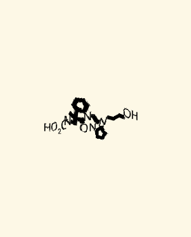 O=C(O)N1CC2(C1)C(=O)N(Cc1nc3c(n1CCCCO)CCC3)c1ccccc12